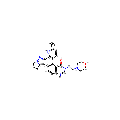 Cc1cccc(-c2nn3c(c2-c2ccc4ncn(CCN5CCOCC5)c(=O)c4c2)CCC3)n1